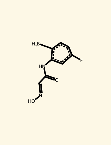 Bc1ccc(F)cc1NC(=O)/C=N/O